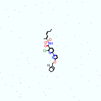 CC/C=C\C=C(/C)S(=O)(=O)NC(=O)c1ccc(-n2ccc(OCC3CC4CC[C@@H]3C4)n2)nc1Cl